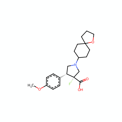 COc1ccc([C@@H]2CN(C3CCC4(CCCO4)CC3)C[C@@]2(F)C(=O)O)cc1